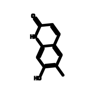 Cc1cc2ccc(=O)[nH]c2cc1O